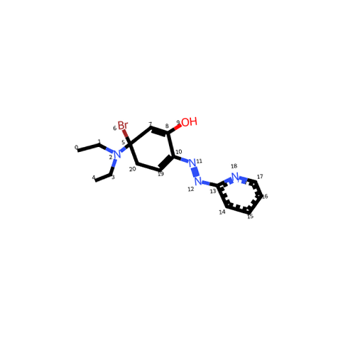 CCN(CC)C1(Br)C=C(O)C(N=Nc2ccccn2)=CC1